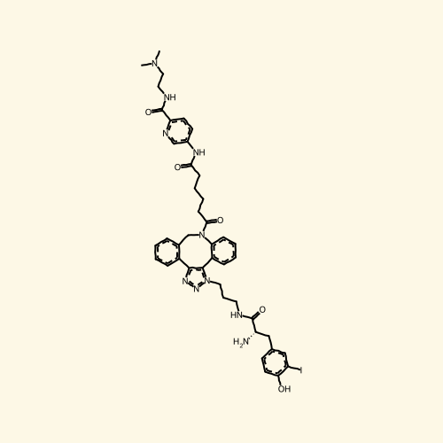 CN(C)CCNC(=O)c1ccc(NC(=O)CCCCC(=O)N2Cc3ccccc3-c3nnn(CCCNC(=O)[C@@H](N)Cc4ccc(O)c(I)c4)c3-c3ccccc32)cn1